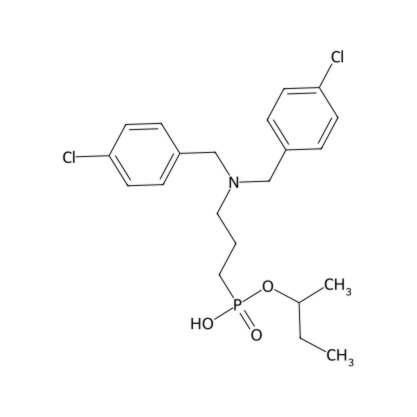 CCC(C)OP(=O)(O)CCCN(Cc1ccc(Cl)cc1)Cc1ccc(Cl)cc1